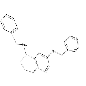 c1ccc(CNC2CCCc3ccc(OCc4ccncc4)cc32)cc1